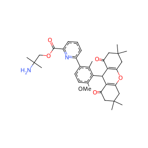 COc1ccc(-c2cccc(C(=O)OCC(C)(C)N)n2)c(C)c1C1C2=C(CC(C)(C)CC2=O)OC2=C1C(=O)CC(C)(C)C2